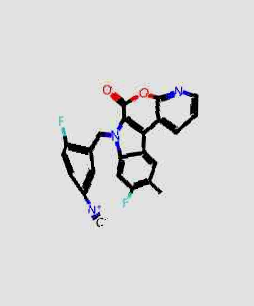 [C-]#[N+]c1ccc(F)c(Cn2c3cc(F)c(C)cc3c3c4cccnc4oc(=O)c32)c1